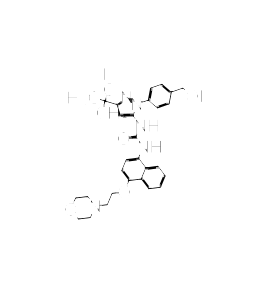 CC(C)(C)c1cc(NC(=O)Nc2ccc(OCCN3CCOCC3)c3ccccc23)n(-c2ccc(CO)cc2)n1